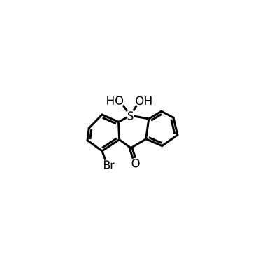 O=C1c2ccccc2S(O)(O)c2cccc(Br)c21